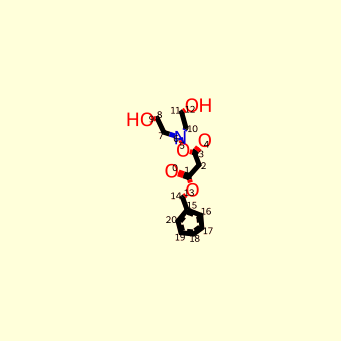 O=C(CC(=O)ON(CCO)CCO)OCc1ccccc1